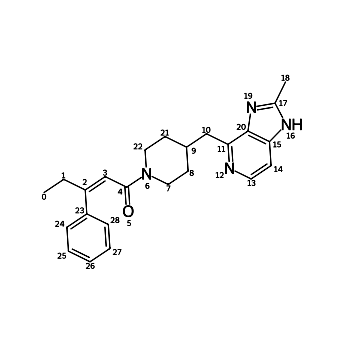 CCC(=CC(=O)N1CCC(Cc2nccc3[nH]c(C)nc23)CC1)c1ccccc1